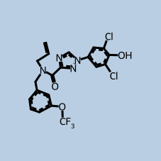 C=CCN(Cc1cccc(OC(F)(F)F)c1)C(=O)c1ncn(-c2cc(Cl)c(O)c(Cl)c2)n1